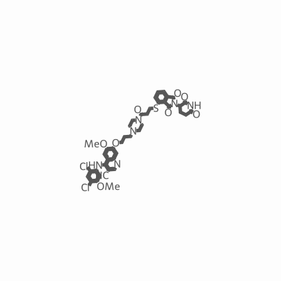 COc1cc(Nc2c(C#N)cnc3cc(OCCCN4CCN(C(=O)CCSc5cccc6c5C(=O)N(C5CCC(=O)NC5=O)C6=O)CC4)c(OC)cc23)c(Cl)cc1Cl